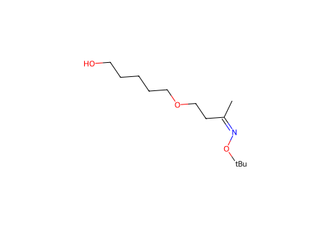 CC(CCOCCCCCO)=NOC(C)(C)C